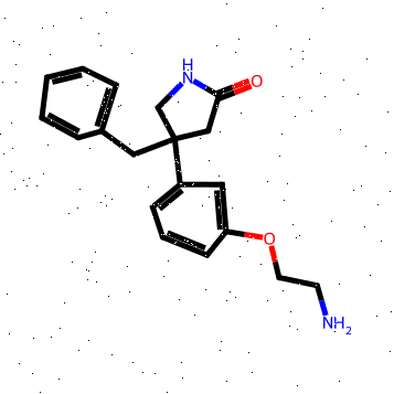 NCCOc1cccc(C2(Cc3ccccc3)CNC(=O)C2)c1